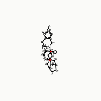 Cn1cc2c(n1)CCN(C(=O)CN1CC3CCC(C1)N3c1ncc(F)cn1)C2